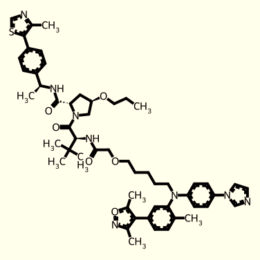 CCCO[C@@H]1C[C@@H](C(=O)N[C@@H](C)c2ccc(-c3scnc3C)cc2)N(C(=O)[C@@H](NC(=O)COCCCCCN(c2ccc(-n3ccnc3)cc2)c2cc(-c3c(C)noc3C)ccc2C)C(C)(C)C)C1